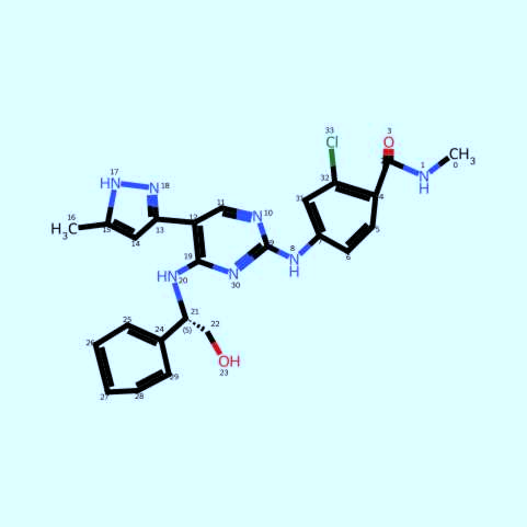 CNC(=O)c1ccc(Nc2ncc(-c3cc(C)[nH]n3)c(N[C@H](CO)c3ccccc3)n2)cc1Cl